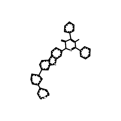 C=C1C(c2ccccc2)=C(C)C(c2ccccc2)=NC1c1ccc2c(c1)sc1cc(-c3cccc(-c4ccccc4)c3)ccc12